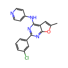 Cc1cc2c(Nc3ccncc3)nc(-c3cccc(Cl)c3)nc2o1